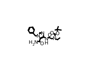 CCN(CC(=O)Nc1ncn(Cc2ccccc2)c1C(N)=O)C(=O)OC(C)(C)C